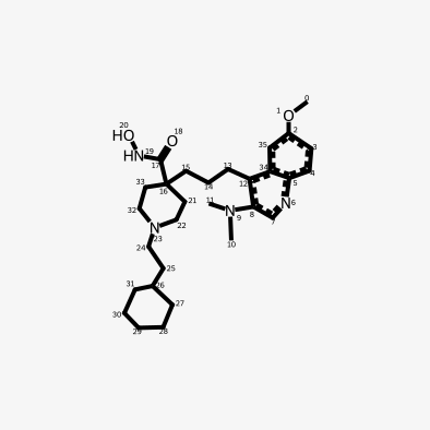 COc1ccc2ncc(N(C)C)c(CCCC3(C(=O)NO)CCN(CCC4CCCCC4)CC3)c2c1